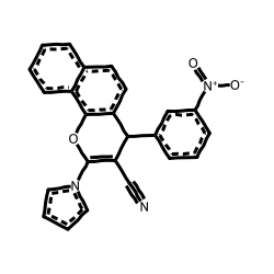 N#CC1=C(n2cccc2)Oc2c(ccc3ccccc23)C1c1cccc([N+](=O)[O-])c1